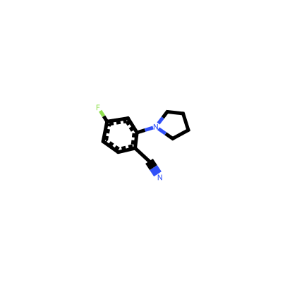 N#Cc1ccc(F)cc1N1CCCC1